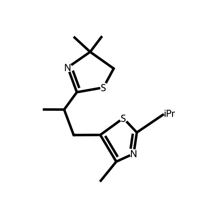 Cc1nc(C(C)C)sc1CC(C)C1=NC(C)(C)CS1